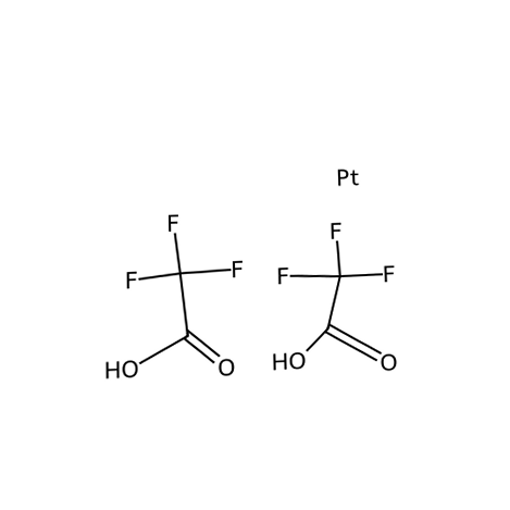 O=C(O)C(F)(F)F.O=C(O)C(F)(F)F.[Pt]